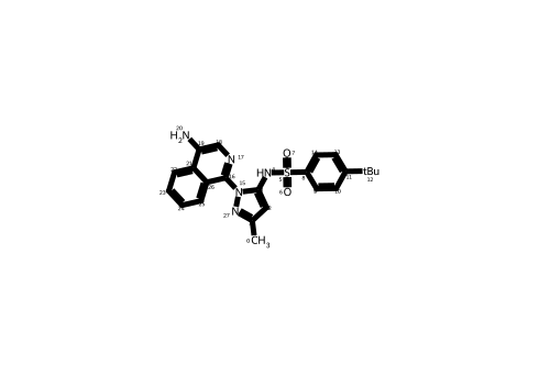 Cc1cc(NS(=O)(=O)c2ccc(C(C)(C)C)cc2)n(-c2ncc(N)c3ccccc23)n1